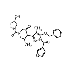 Cc1c(C2C(=O)CN(C(=O)N3CCC(O)C3)CC2C)nn(C(=O)c2ccoc2)c1OCc1ccccc1